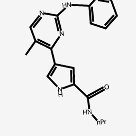 CCCNC(=O)c1cc(-c2nc(Nc3ccccc3)ncc2C)c[nH]1